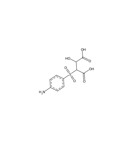 Nc1ccc(S(=O)(=O)C(C(=O)O)C(O)C(=O)O)cc1